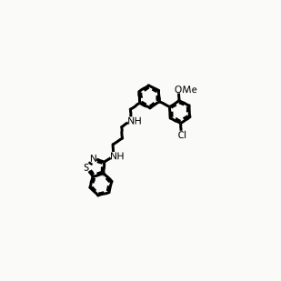 COc1ccc(Cl)cc1-c1cccc(CNCCCNc2nsc3ccccc23)c1